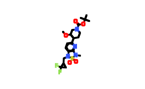 COC1CN(C(=O)OC(C)(C)C)CCC1c1ccc2c(n1)N(C)S(=O)(=O)N2CC1CC1(F)F